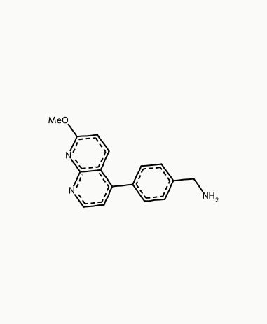 COc1ccc2c(-c3ccc(CN)cc3)ccnc2n1